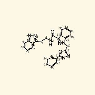 O=C(NCCc1nnc2ccccn12)c1nn(Cc2nnc(-c3ccccc3)o2)c2ccccc12